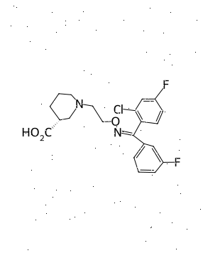 O=C(O)[C@@H]1CCCN(CCON=C(c2cccc(F)c2)c2ccc(F)cc2Cl)C1